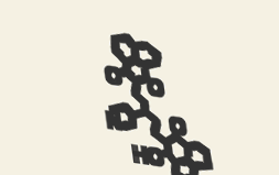 O=C1C(/C=C/C(=C/C=c2c(=O)c3cccc4cccc(c2=O)c43)c2ccncc2)=C(O)c2cccc3cccc1c23